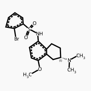 COc1ccc(NS(=O)(=O)c2ccccc2Br)c2c1C[C@@H](N(C)C)CC2